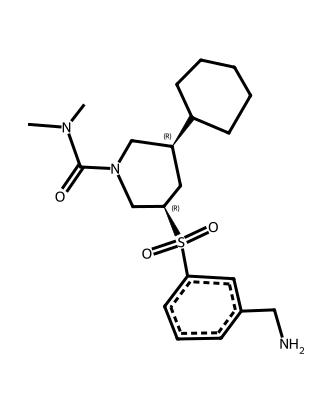 CN(C)C(=O)N1C[C@@H](C2CCCCC2)C[C@@H](S(=O)(=O)c2cccc(CN)c2)C1